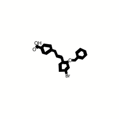 O=C(O)c1ccc(C/C=C/c2ccc(Br)cc2OCc2ccccc2)cc1